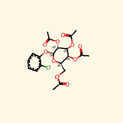 CC(=O)OC[C@H]1O[C@@H](Oc2ccccc2Cl)[C@H](OC(C)=O)[C@@H](OC(C)=O)[C@H]1OC(C)=O